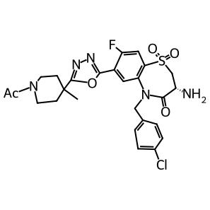 CC(=O)N1CCC(C)(c2nnc(-c3cc4c(cc3F)S(=O)(=O)C[C@H](N)C(=O)N4Cc3ccc(Cl)cc3)o2)CC1